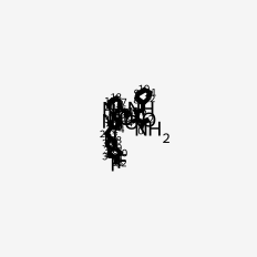 NC(=O)C(O)C(Cc1ccccc1)NC(=O)c1cccnc1-n1ccc(CN2CC3CC(F)(F)CC3C2)n1